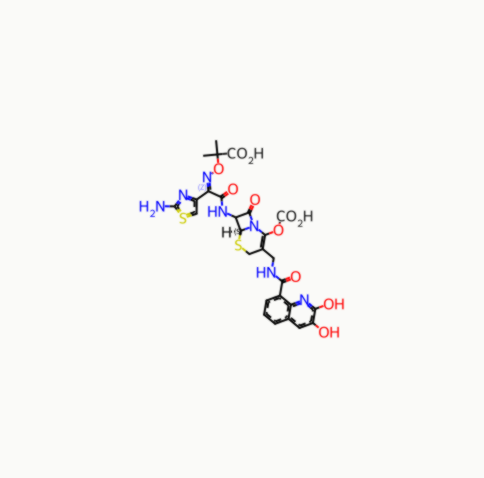 CC(C)(O/N=C(\C(=O)NC1C(=O)N2C(OC(=O)O)=C(CNC(=O)c3cccc4cc(O)c(O)nc34)CS[C@@H]12)c1csc(N)n1)C(=O)O